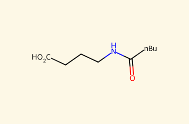 CCCCC(=O)NCCCC(=O)O